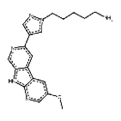 COc1cnc2[nH]c3cnc(-c4cnn(CCCCCN)c4)cc3c2c1